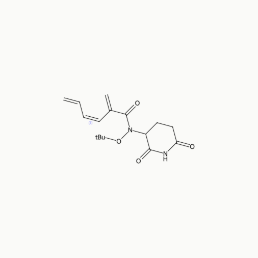 C=C/C=C\C(=C)C(=O)N(OC(C)(C)C)C1CCC(=O)NC1=O